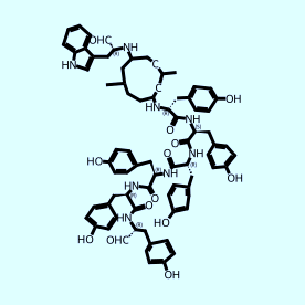 CC1CCC(N[C@H](Cc2ccc(O)cc2)C(=O)N[C@@H](Cc2ccc(O)cc2)C(=O)N[C@H](Cc2ccc(O)cc2)C(=O)N[C@H](Cc2ccc(O)cc2)C(=O)N[C@H](Cc2ccc(O)cc2)C(=O)N[C@@H](C=O)Cc2ccc(O)cc2)CC(C)CCC(N[C@@H](C=O)Cc2c[nH]c3ccccc23)C1